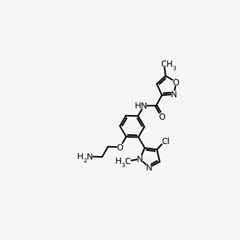 Cc1cc(C(=O)Nc2ccc(OCCN)c(-c3c(Cl)cnn3C)c2)no1